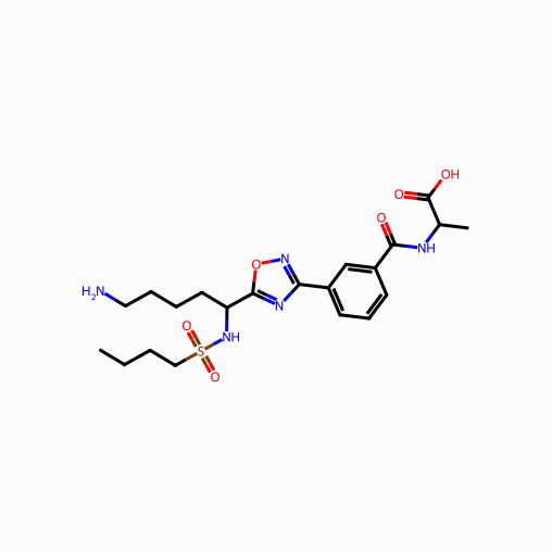 CCCCS(=O)(=O)NC(CCCCN)c1nc(-c2cccc(C(=O)NC(C)C(=O)O)c2)no1